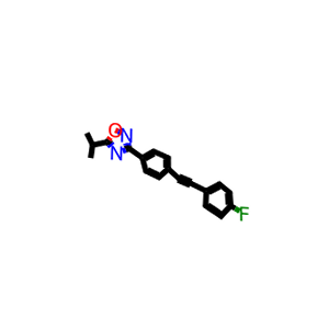 CC(C)c1nc(-c2ccc(C#Cc3ccc(F)cc3)cc2)no1